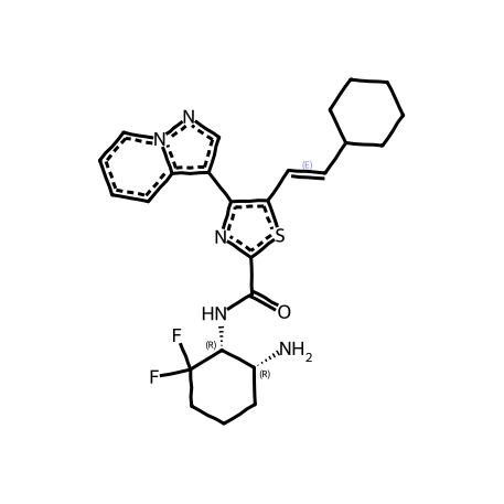 N[C@@H]1CCCC(F)(F)[C@@H]1NC(=O)c1nc(-c2cnn3ccccc23)c(/C=C/C2CCCCC2)s1